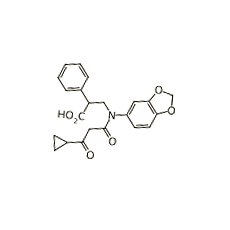 O=C(CC(=O)N(CC(C(=O)O)c1ccccc1)c1ccc2c(c1)OCO2)C1CC1